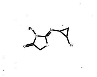 CC(C)C1CC1/N=C1\SCC(=O)N1C(C)C